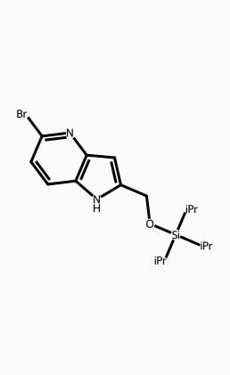 CC(C)[Si](OCc1cc2nc(Br)ccc2[nH]1)(C(C)C)C(C)C